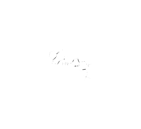 CN(Cc1ccc(NC(=O)c2coc3c2C(=O)CCC3)cc1)C(=O)OC(C)(C)C